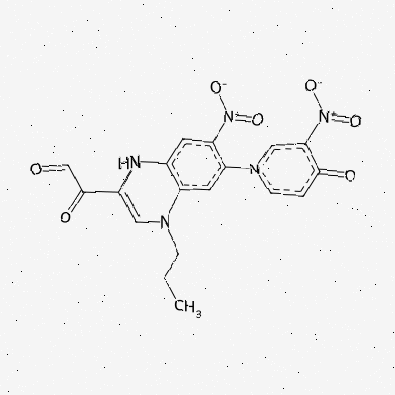 CCCN1C=C(C(=O)C=O)Nc2cc([N+](=O)[O-])c(-n3ccc(=O)c([N+](=O)[O-])c3)cc21